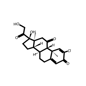 C[C@]12C=C(Cl)C(=O)C=C1CC[C@@H]1[C@@H]2C(=O)C[C@@]2(C)[C@H]1CC[C@]2(O)C(=O)CO